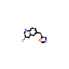 Clc1cnc2ccc(Cc3cnco3)cc2c1